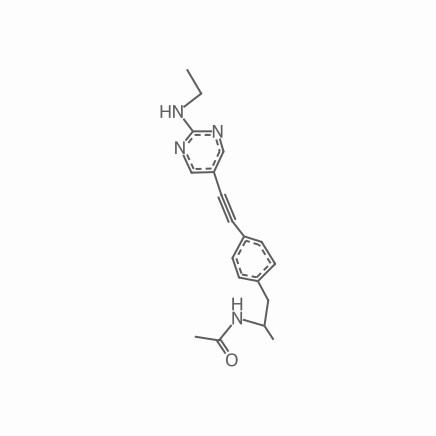 CCNc1ncc(C#Cc2ccc(CC(C)NC(C)=O)cc2)cn1